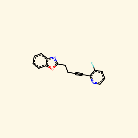 Fc1cccnc1C#CCCc1nc2ccccc2o1